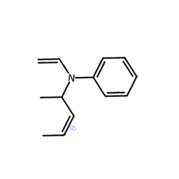 C=CN(c1ccccc1)C(C)/C=C\C